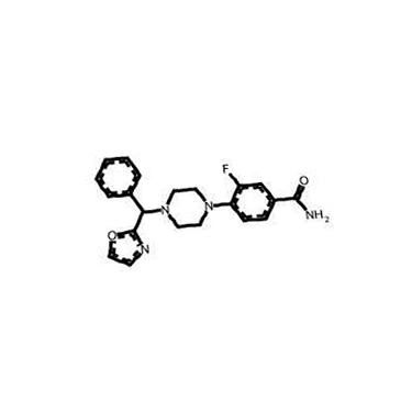 NC(=O)c1ccc(N2CCN(C(c3ccccc3)c3ncco3)CC2)c(F)c1